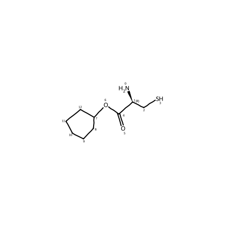 N[C@@H](CS)C(=O)OC1CCCCC1